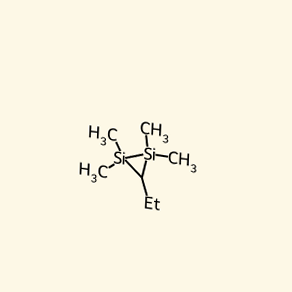 CCC1[Si](C)(C)[Si]1(C)C